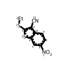 CCSc1sc2cc([N+](=O)[O-])ccc2c1C#N